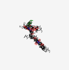 C=C(C)C(=O)Oc1ccc(C(C)(c2ccc(OC(=O)C(=C)C)c(N3C(=O)c4ccc(Oc5cccc(C(C)(C)c6cccc(Oc7ccc8c(c7)C(=O)N(c7ccc(Oc9ccc(C)cc9)cc7)C8=O)c6)c5)cc4C3=O)c2)C(F)(F)F)cc1C